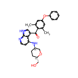 Cc1cc(Oc2ccccc2)cc(C)c1C(=O)c1c[nH]c2nccc(N[C@@H]3CC[C@@H](CO)OC3)c12